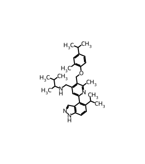 Cc1cc(C(C)C)ccc1OCc1c(CNC(C)C(C)C)cc(-c2c(C(C)C)ccc3[nH]ncc23)nc1C